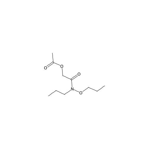 CCCON(CCC)C(=O)COC(C)=O